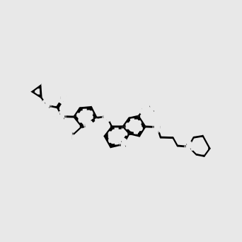 N#Cc1cc2c(Oc3ccc(NC(=O)NC4CC4)c(Cl)c3)ccnc2cc1OCCCN1CCCCC1